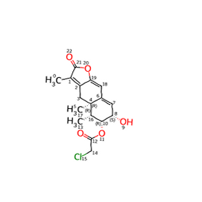 CC1=C2C[C@@]3(C)C(=C[C@H](O)[C@H](OC(=O)CCl)[C@@H]3C)C=C2OC1=O